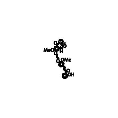 COc1cc(/C=C/C(=O)c2ccccc2O)ccc1OCCCOc1cc2c(cc1OC)C(=O)N1CCC[C@H]1C(=O)N2